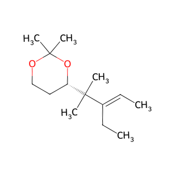 C/C=C(\CC)C(C)(C)[C@@H]1CCOC(C)(C)O1